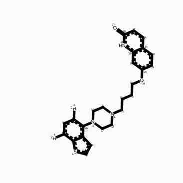 [2H]c1cc([2H])c2sccc2c1N1CCN(CCCCOc2ccc3ccc(=O)[nH]c3c2)CC1